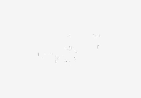 C=C1CC[C@@H](N2C(=O)c3cc(F)c(C(C)(C)C)cc3C2=O)C(=O)N1